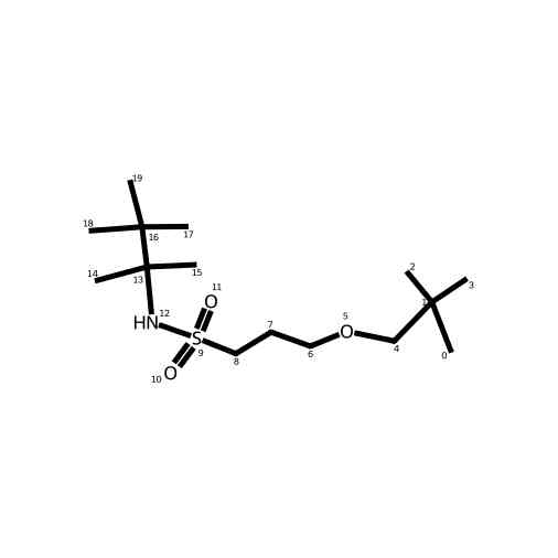 CC(C)(C)COCCCS(=O)(=O)NC(C)(C)C(C)(C)C